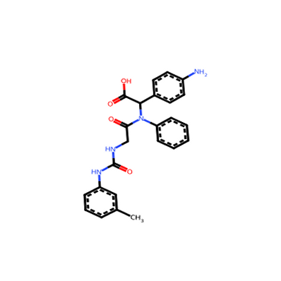 Cc1cccc(NC(=O)NCC(=O)N(c2ccccc2)C(C(=O)O)c2ccc(N)cc2)c1